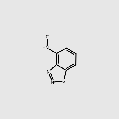 ClNc1cccc2snnc12